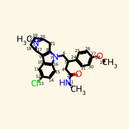 CNC(=O)CC(Cn1c2c(c3cc(Cl)ccc31)C1CCC(C2)N1C)c1ccc(OC)cc1